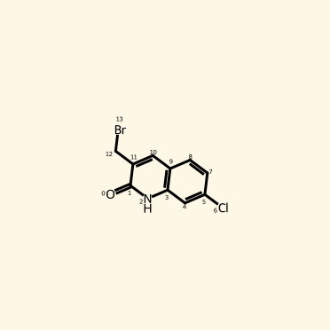 O=c1[nH]c2cc(Cl)ccc2cc1CBr